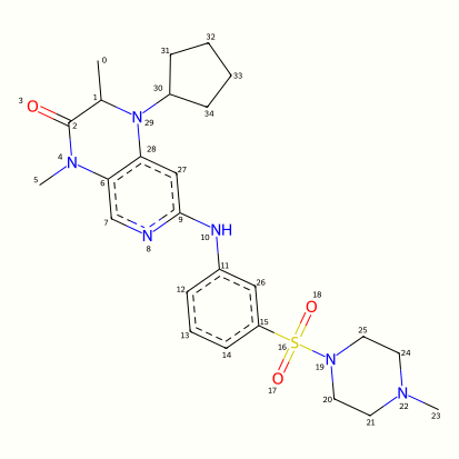 CC1C(=O)N(C)c2cnc(Nc3cccc(S(=O)(=O)N4CCN(C)CC4)c3)cc2N1C1CCCC1